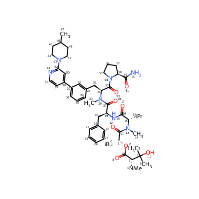 CC[C@H](C)[C@@H](OC(=O)[C@@H](NC)C(C)(C)O)C(=O)N(C)[C@H](C(=O)N[C@@H](Cc1ccccc1)C(=O)N(C)[C@@H](Cc1cccc(-c2ccnc(N3CCC(C)CC3)c2)c1)C(=O)N1CCC[C@H]1C(N)=O)C(C)C